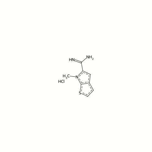 Cl.Cn1c(C(=N)N)cc2ccsc21